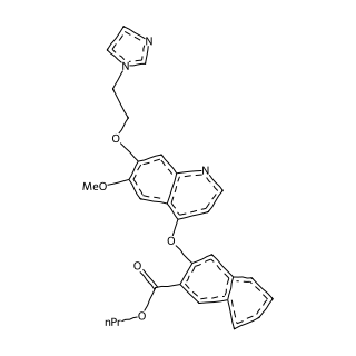 CCCOC(=O)c1cc2ccccc2cc1Oc1ccnc2cc(OCCn3ccnc3)c(OC)cc12